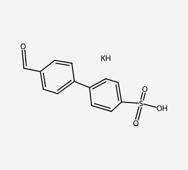 O=Cc1ccc(-c2ccc(S(=O)(=O)O)cc2)cc1.[KH]